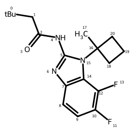 CC(C)(C)CC(=O)Nc1nc2ccc(F)c(F)c2n1C1(C)CCC1